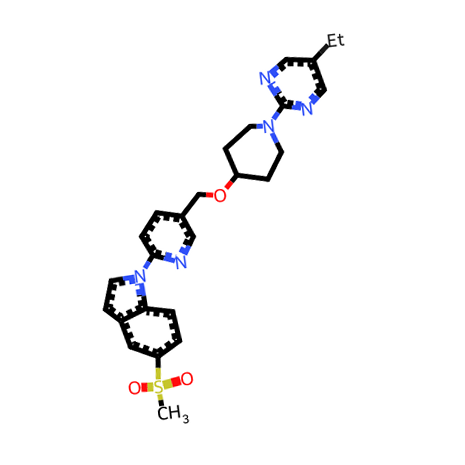 CCc1cnc(N2CCC(OCc3ccc(-n4ccc5cc(S(C)(=O)=O)ccc54)nc3)CC2)nc1